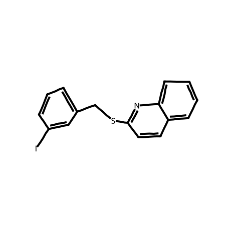 Ic1cccc(CSc2ccc3ccccc3n2)c1